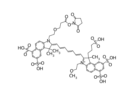 COCC[N+]1=C(/C=C/C=C/C=C/C=C2/N(CCOCCC(=O)ON3C(=O)CCC3=O)c3ccc4c(S(=O)(=O)O)cc(S(=O)(=O)O)cc4c3C2(C)C)C(C)(CCCS(=O)(=O)O)c2c1ccc1c(S(=O)(=O)O)cc(S(=O)(=O)O)cc21